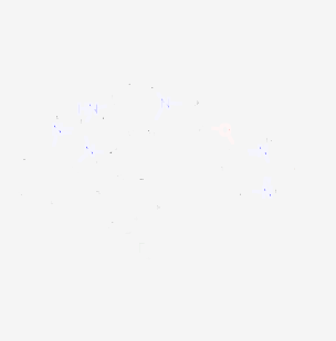 CSc1nccc(OCCN2CCC(Nc3nc4ccccc4n3Cc3ccc(F)cc3)CC2)n1